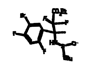 CCOC(=O)C(F)(F)C(C)(N[S+]([O-])C(C)(C)C)c1cc(Br)c(F)cc1F